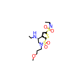 C/C=N\S(=O)(=O)c1cc2c(s1)S(=O)(=O)N(CCCOC)C[C@@H]2NCC